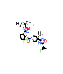 CC(C)c1nc([C@H]2CCCC(F)(F)[C@@H]2NC(=O)N2CCC(C)(c3noc([C@@H]4C[C@@H]4F)n3)CC2)no1